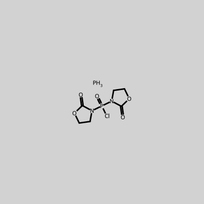 O=C1OCCN1P(=O)(Cl)N1CCOC1=O.P